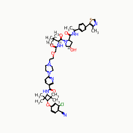 Cc1ncsc1-c1ccc([C@H](C)NC(=O)C2C[C@@H](O)CN2C(=O)[C@@H](NC(=O)COCCN2CCN(c3ccc(C(=O)N[C@H]4C(C)(C)[C@H](Oc5ccc(C#N)c(Cl)c5)C4(C)C)cn3)CC2)C(C)(C)C)cc1